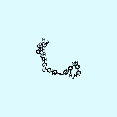 Nc1cc(-c2ccc3ncnc(-c4ccc(N5CCN(CC#Cc6ccc(N7CCC(C(=O)N8CCC(n9cc(CNc%10cccc%11c%10C(=O)N(C%10CCC(=O)NC%10=O)C%11=O)cn9)CC8)CC7)nc6)CC5)c(F)c4)c3c2)ccn1